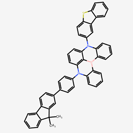 CC1(C)c2ccccc2-c2ccc(-c3ccc(N4c5ccccc5B5c6ccccc6N(c6ccc7sc8ccccc8c7c6)c6cccc4c65)cc3)cc21